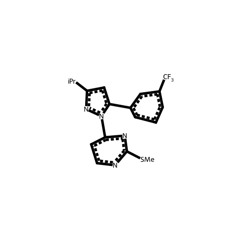 CSc1nccc(-n2nc(C(C)C)cc2-c2cccc(C(F)(F)F)c2)n1